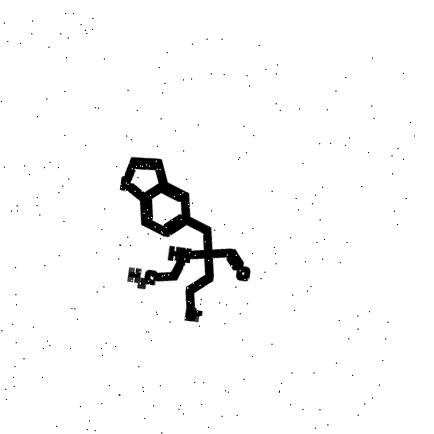 CCNC(C=O)(CCBr)Cc1ccc2sccc2c1